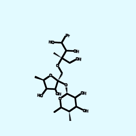 CC(C)C(O)C(O)[C@@](C)(CO)OC[C@@]1(O[C@H]2OC(C)[C@@H](C)C(O)C2O)O[C@H](C)C(O)C1O